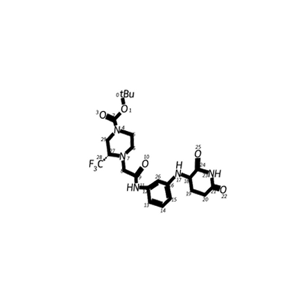 CC(C)(C)OC(=O)N1CCN(CC(=O)Nc2cccc(NC3CCC(=O)NC3=O)c2)[C@H](C(F)(F)F)C1